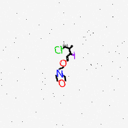 CC(C(I)C=COCCN1CCOCC1)[C@@H](C)Cl